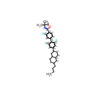 CCCCC1CCC2CC(c3cc(F)c(-c4ccc(C5=NC(C)(C)CO5)c(F)c4)c(F)c3)CCC2C1